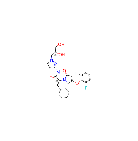 O=C(Nc1ccn(C[C@@H](O)CO)n1)[C@H](CC1CCCCC1)N1CC(Oc2c(F)cccc2F)=CC1=O